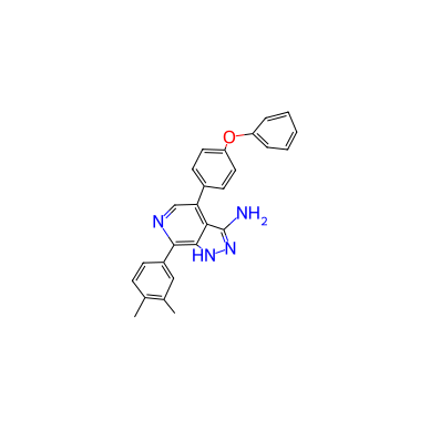 Cc1ccc(-c2ncc(-c3ccc(Oc4ccccc4)cc3)c3c(N)n[nH]c23)cc1C